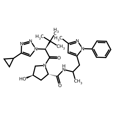 Cc1cc(CC(C)NC(=O)[C@@H]2C[C@@H](O)CN2C(=O)[C@@H](n2cc(C3CC3)nn2)C(C)(C)C)n(-c2ccccc2)n1